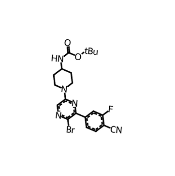 CC(C)(C)OC(=O)NC1CCN(c2cnc(Br)c(-c3ccc(C#N)c(F)c3)n2)CC1